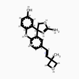 CC1(/C=C/c2cnc3c(c2)C2(COC(N)=N2)c2cc(O)ccc2O3)COC1